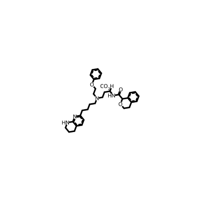 O=C(O)C(CCN(CCCCc1ccc2c(n1)NCCC2)CCOc1ccccc1)NC(=O)C1OCCc2ccccc21